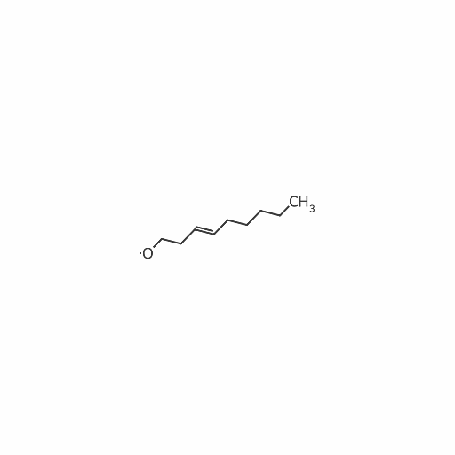 CCCCC/C=C/CC[O]